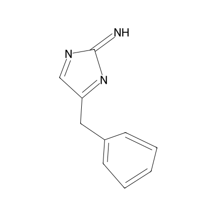 N=C1N=CC(Cc2ccccc2)=N1